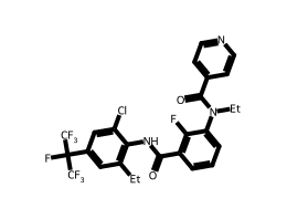 CCc1cc(C(F)(C(F)(F)F)C(F)(F)F)cc(Cl)c1NC(=O)c1cccc(N(CC)C(=O)c2ccncc2)c1F